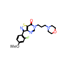 COc1ccc(-c2nsc3c(=O)n(CCCN4CCOCC4)cnc23)c(F)c1